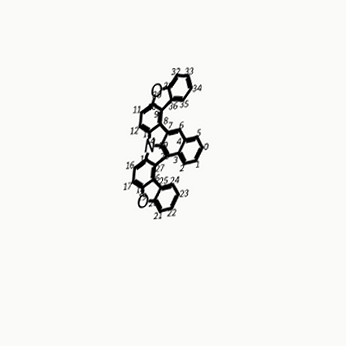 c1ccc2c(c1)cc1c3c4c(ccc3n3c5ccc6oc7ccccc7c6c5c2c13)oc1ccccc14